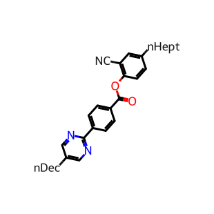 CCCCCCCCCCc1cnc(-c2ccc(C(=O)Oc3ccc(CCCCCCC)cc3C#N)cc2)nc1